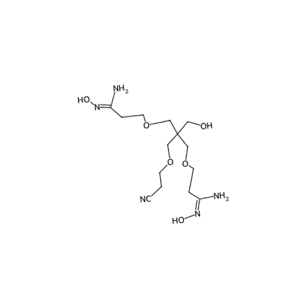 N#CCCOCC(CO)(COCC/C(N)=N/O)COCC/C(N)=N\O